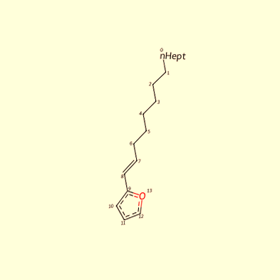 CCCCCCCCCCCCC/C=C/c1ccco1